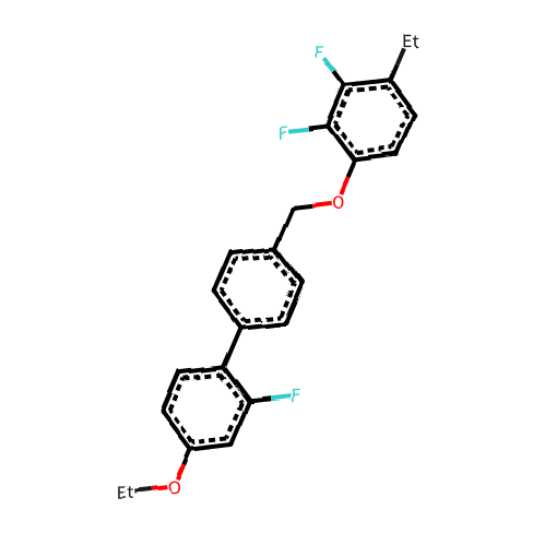 CCOc1ccc(-c2ccc(COc3ccc(CC)c(F)c3F)cc2)c(F)c1